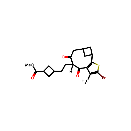 COC(=O)C1CC(CC[C@@H]2C(=O)CC3CC(C3)c3sc(Br)c(C)c3C2=O)C1